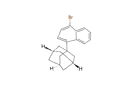 Brc1ccc(C23C[C@H]4C[C@@H](C2)C[C@@H](C3)C4)c2ccccc12